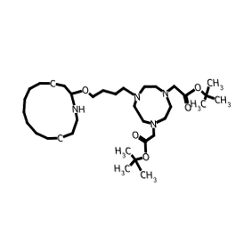 CC(C)(C)OC(=O)CN1CCN(CCCCOC2CCCCCCCCCCCCN2)CCN(CC(=O)OC(C)(C)C)CC1